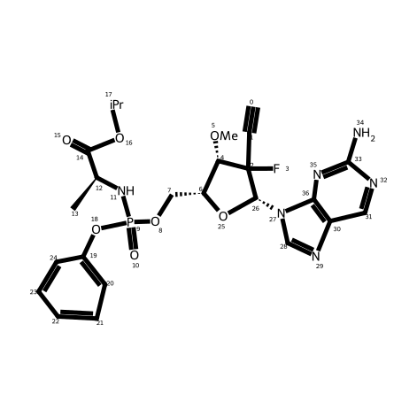 C#CC1(F)[C@@H](OC)[C@@H](COP(=O)(N[C@@H](C)C(=O)OC(C)C)Oc2ccccc2)O[C@H]1n1cnc2cnc(N)nc21